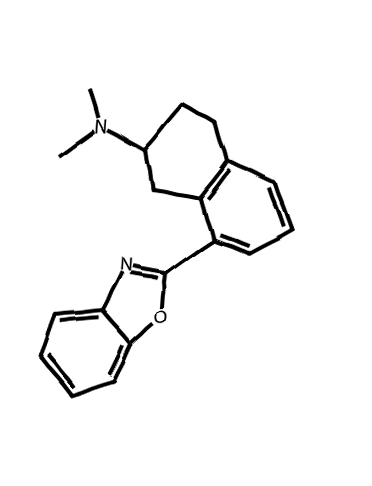 CN(C)C1CCc2cccc(-c3nc4ccccc4o3)c2C1